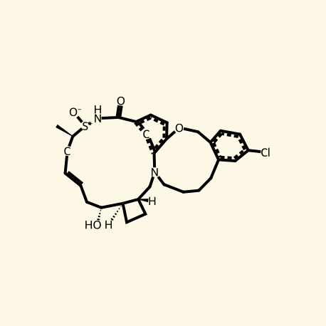 C[C@@H]1C/C=C/C[C@@H](O)[C@@H]2CC[C@H]2CN2CCCCc3cc(Cl)ccc3COc3ccc(cc32)C(=O)N[S+]1[O-]